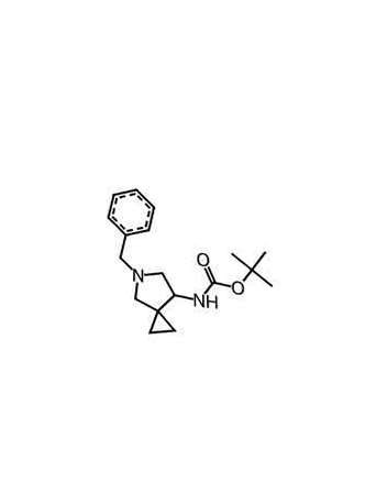 CC(C)(C)OC(=O)NC1CN(Cc2ccccc2)CC12CC2